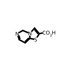 O=C(O)C1=CN2CN=CC=C2S1